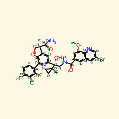 COc1cc(C(=O)NC[C@](O)(c2cc3c(c(-c4ccc(F)c(Cl)c4F)n2)OC[C@]3(C)C(N)=O)C2(F)CC2)cc2cc(Br)cnc12